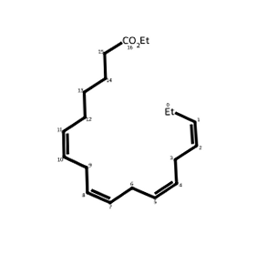 CC/C=C\C/C=C\C/C=C\C/C=C\CCCCC(=O)OCC